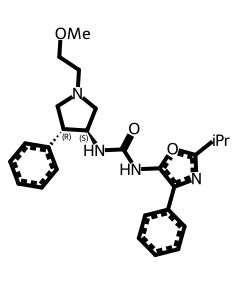 COCCN1C[C@@H](NC(=O)Nc2oc(C(C)C)nc2-c2ccccc2)[C@H](c2ccccc2)C1